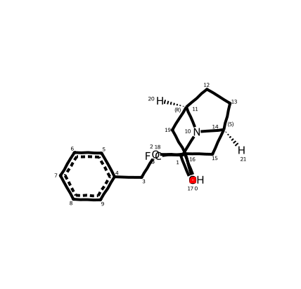 O=C(OCc1ccccc1)N1[C@@H]2CC[C@H]1CC(O)(C(F)(F)F)C2